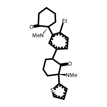 CCc1ccc(C2CCC[C@@](NC)(c3cccs3)C2=O)cc1[C@]1(NC)CCCCC1=O